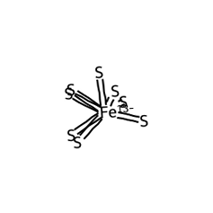 [S]=[Fe-13](=[S])(=[S])(=[S])(=[S])(=[S])(=[S])=[S]